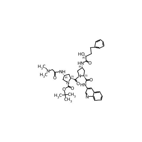 CN(C)CC(=O)N[C@@H]1C[C@@H](C(=O)N2C[C@H](NC(=O)[C@H](O)CCc3ccccc3)C[C@H]2C(=O)Nc2cnc3ccccc3c2)N(C(=O)OC(C)(C)C)C1